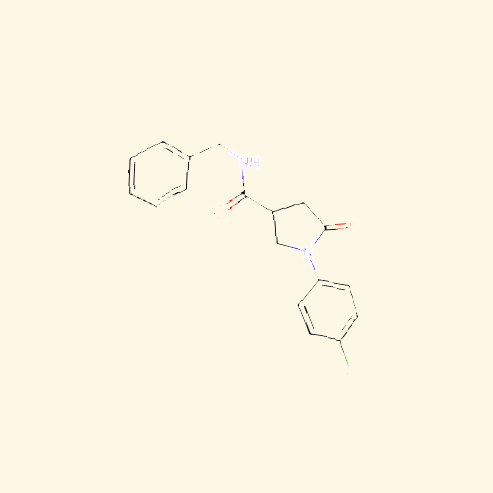 C[C@H](NC(=O)C1CC(=O)N(c2ccc(Cl)cc2)C1)c1ccccc1